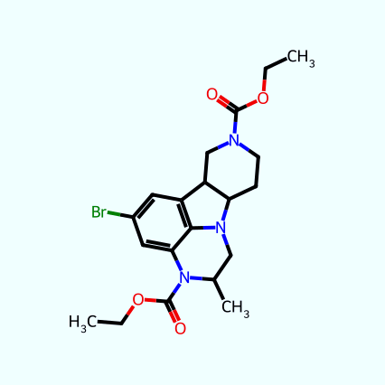 CCOC(=O)N1CCC2C(C1)c1cc(Br)cc3c1N2CC(C)N3C(=O)OCC